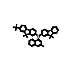 Cc1cc(N(c2ccc3c(c2)C(C)(C)c2ccccc2-3)c2ccc3c(c2)C(C)(C)c2cc(C(C)(C)C)ccc2-3)c2ccccc2c1